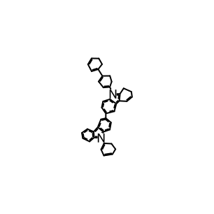 C1=CCCC(C2=CC=C(n3c4c(c5cc(-c6ccc7c(c6)c6ccccc6n7C6=CC=CCC6)ccc53)C=CCC4)CC2)=C1